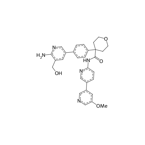 COc1cncc(-c2ccc(NC(=O)C3(c4ccc(-c5cnc(N)c(CO)c5)cc4)CCOCC3)nc2)c1